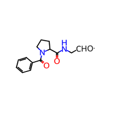 O=[C]CNC(=O)C1CCCN1C(=O)c1ccccc1